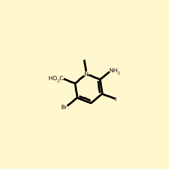 CN1C(N)=C(I)C=C(Br)C1C(=O)O